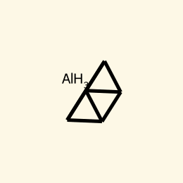 C12C3C4C1C234.[AlH3]